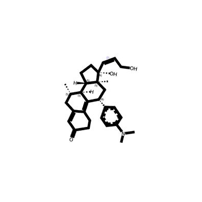 C[C@H]1CC2=CC(=O)CCC2=C2[C@@H]1[C@@H]1CC[C@@](O)(/C=C\CO)[C@@]1(C)C[C@@H]2c1ccc(N(C)C)cc1